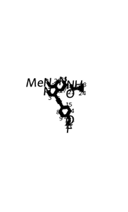 CNc1ncc(C#Cc2ccc(OCF)cc2)c2cc(NC(=O)C3CC3)ncc12